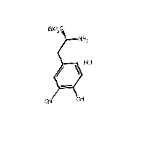 CCOC(=O)[C@@H](N)Cc1ccc(O)c(N=O)c1.Cl